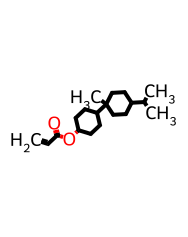 C=CC(=O)OC1CCC(C2(C)CCC(C(C)C)CC2)CC1